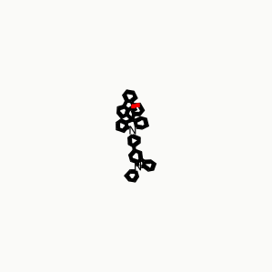 CC1(C)c2ccccc2-c2cccc(C3(c4ccccc4)c4ccccc4N(c4ccc(-c5ccc6c(c5)c5ccccc5n6-c5ccccc5)cc4)c4ccccc43)c21